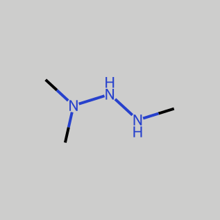 CNNN(C)C